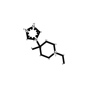 CCN1CCC(C)(n2cnnc2)CC1